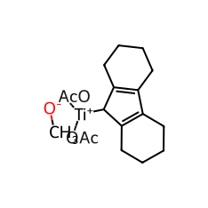 CC(=O)[O][Ti+]([O]C(C)=O)[CH]1C2=C(CCCC2)C2=C1CCCC2.C[O-]